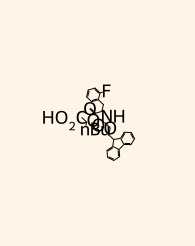 CCCCC(OC(=O)C(Cc1ccccc1F)NC(=O)OCC1c2ccccc2-c2ccccc21)C(=O)O